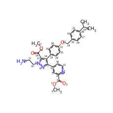 COC(=O)c1cc(-c2nn(CCN)c(C(=O)OC)c2-c2ccc(OCc3ccc(C(C)C)cc3)cc2)ccn1